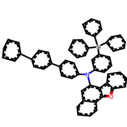 c1ccc(-c2ccc(-c3ccc(N(c4cccc([Si](c5ccccc5)(c5ccccc5)c5ccccc5)c4)c4cc5ccccc5c5oc6ccccc6c45)cc3)cc2)cc1